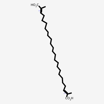 C/C(=C\CCCCCCCCCCCCCCCCCCC/C=C(\C)C(=O)O)C(=O)O